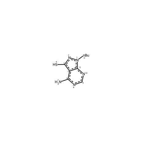 CCCCn1nc(S)c2c(N)ncnc21